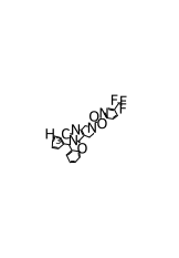 Cc1nc2c(c(=O)n1C(c1ccccc1)c1ccccc1)CCN(C(=O)Oc1ccc(C(F)(F)F)cn1)C2